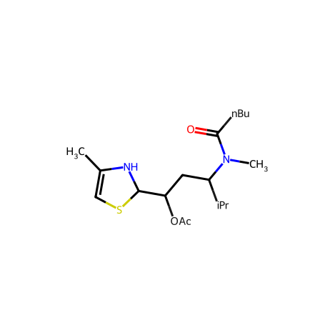 CCCCC(=O)N(C)C(CC(OC(C)=O)C1NC(C)=CS1)C(C)C